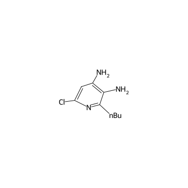 CCCCc1nc(Cl)cc(N)c1N